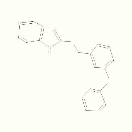 c1ccc(Oc2cccc(CSc3nc4cnccc4[nH]3)c2)cc1